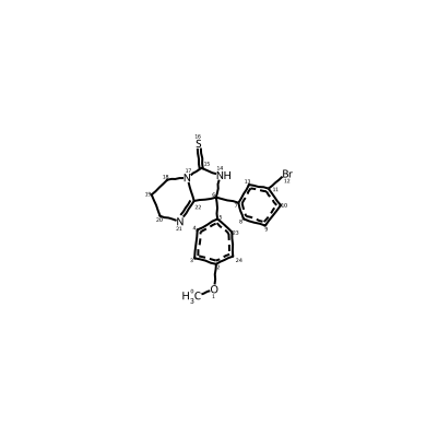 COc1ccc(C2(c3cccc(Br)c3)NC(=S)N3CCCN=C32)cc1